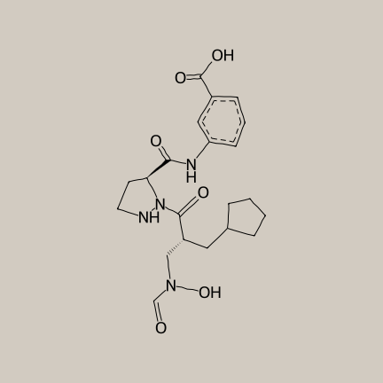 O=CN(O)C[C@@H](CC1CCCC1)C(=O)N1NCC[C@H]1C(=O)Nc1cccc(C(=O)O)c1